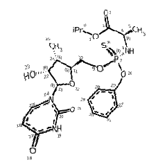 CC(C)OC(=O)[C@@H](C)N[P@@](=S)(OC[C@H]1O[C@@H](n2ccc(=O)[nH]c2=O)[C@H](O)[C@@H]1C)Oc1ccccc1